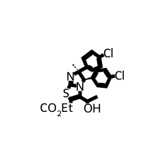 CCOC(=O)C1=C(C(C)O)N2C(=N[C@@](C)(c3ccc(Cl)cc3)[C@H]2c2ccc(Cl)cc2)S1